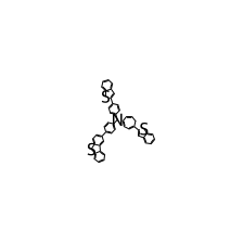 C1=CC(N(c2ccc(-c3ccc4sc5ccccc5c4c3)cc2)c2ccc(-c3cc4ccccc4s3)cc2)=CC=C(c2cc3ccccc3s2)C1